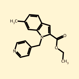 CCOC(=O)c1cc2ccc(C)cc2n1Cc1ccncc1